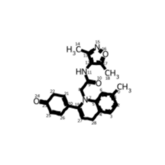 Cc1ccc2c(c1)N(CC(=O)Nc1c(C)noc1C)C(C1=CCC(=O)C=C1)=CC2